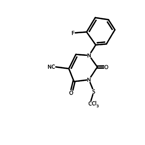 N#Cc1cn(-c2ccccc2F)c(=O)n(SC(Cl)(Cl)Cl)c1=O